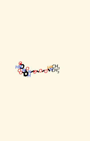 CPN(C)CCOCCOCCOCCNc1cccc2c1C(=O)N(C1CCC(=O)NC1=O)C2=O